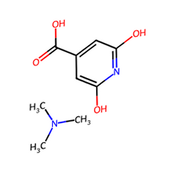 CN(C)C.O=C(O)c1cc(O)nc(O)c1